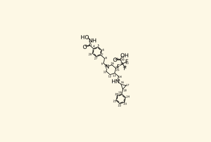 O=C(NO)c1ccc(CCN2CCC(CNC3CC3c3ccccc3)CC2)cc1.O=C(O)C(F)(F)F